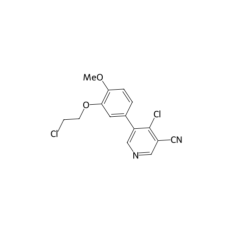 COc1ccc(-c2cncc(C#N)c2Cl)cc1OCCCl